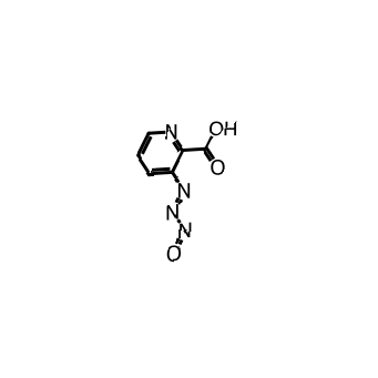 O=NN=Nc1cccnc1C(=O)O